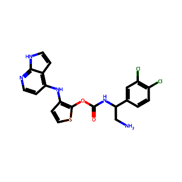 NCC(NC(=O)Oc1sccc1Nc1ccnc2[nH]ccc12)c1ccc(Cl)c(Cl)c1